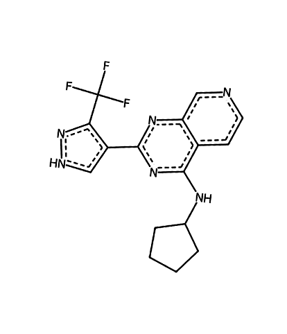 FC(F)(F)c1n[nH]cc1-c1nc(NC2CCCC2)c2ccncc2n1